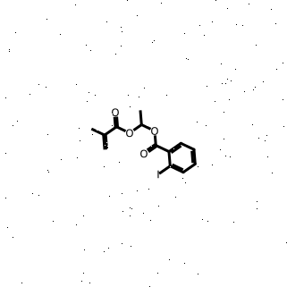 C=C(C)C(=O)OC(C)OC(=O)c1ccccc1I